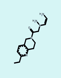 CCc1ccc2c(n1)CCN(C(=O)CN(N)/C=C\N)C2